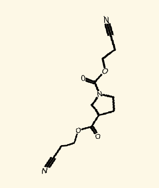 N#CCCOC(=O)C1CCN(C(=O)OCCC#N)C1